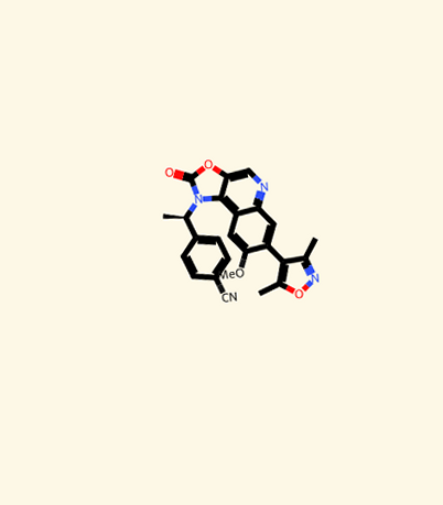 COc1cc2c(cc1-c1c(C)noc1C)ncc1oc(=O)n([C@H](C)c3ccc(C#N)cc3)c12